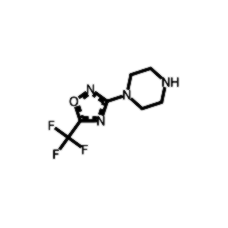 FC(F)(F)c1nc(N2CCNCC2)no1